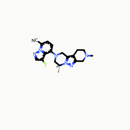 C[C@@H]1CN(c2ccc(C#N)n3ncc(F)c23)Cc2c3c(nn21)CN(C)CC3